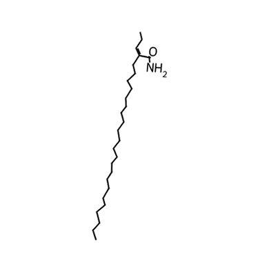 CCC=C(CCCCCCCCCCCCCCCCCCCCCC)C(N)=O